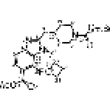 COC(=O)c1ccc2nc(CC3CCN(C(=O)OC(C)(C)C)CC3)n(C[C@@H]3CCO3)c2c1F